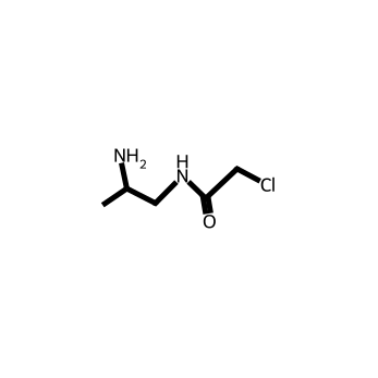 CC(N)CNC(=O)CCl